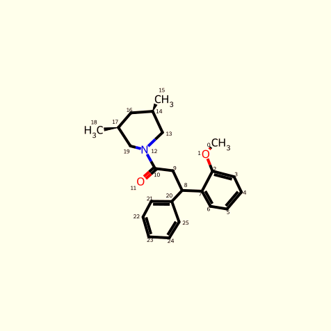 COc1ccccc1C(CC(=O)N1C[C@H](C)C[C@H](C)C1)c1ccccc1